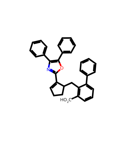 O=C(O)c1cccc(-c2ccccc2)c1CC1CCC=C1c1nc(-c2ccccc2)c(-c2ccccc2)o1